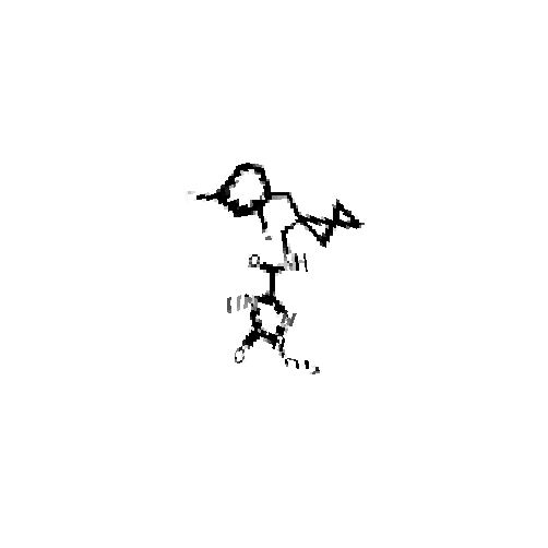 Cn1nc(C(=O)NC[C@]2(Cc3ccc(F)cc3F)CC23CC3)[nH]c1=O